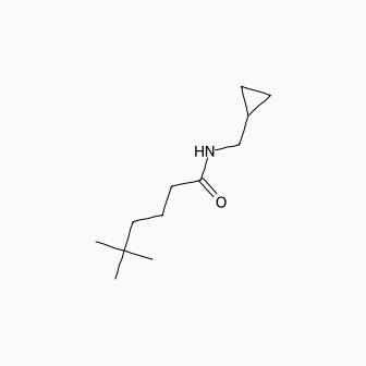 CC(C)(C)CCCC(=O)NCC1CC1